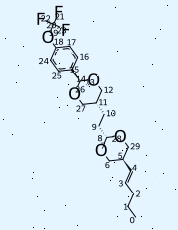 CCCC=C[C@H]1CO[C@H](CC[C@H]2CO[C@H](c3ccc(OC(F)(F)F)cc3)OC2)OC1